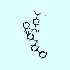 NC(=O)c1ccc(C(=O)N(c2cccc(Nc3nccc(-c4cccnc4)n3)c2)c2ccccc2N)cc1